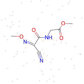 CON=C(C#N)C(=O)NCC(=O)OC